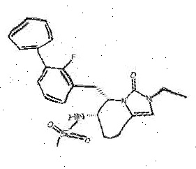 CCn1cc2n(c1=O)[C@@H](Cc1cccc(-c3ccccc3)c1F)[C@@H](NS(C)(=O)=O)CC2